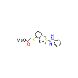 COC(=O)CSc1cccc(CSc2nc3ccccc3[nH]2)c1C